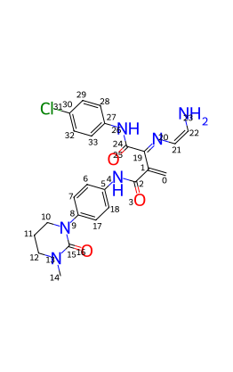 C=C(C(=O)Nc1ccc(N2CCCN(C)C2=O)cc1)/C(=N\C=C/N)C(=O)Nc1ccc(Cl)cc1